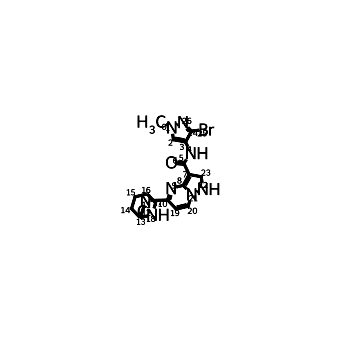 Cn1cc(NC(=O)C2=C3N=C(N4CC5CCC4CN5)C=CN3NC2)c(Br)n1